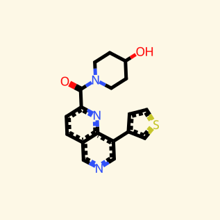 O=C(c1ccc2cncc(-c3ccsc3)c2n1)N1CCC(O)CC1